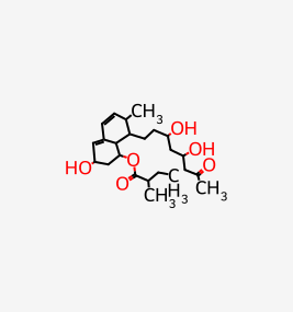 CCC(C)C(=O)OC1CC(O)C=C2C=CC(C)C(CCC(O)CC(O)CC(C)=O)C21